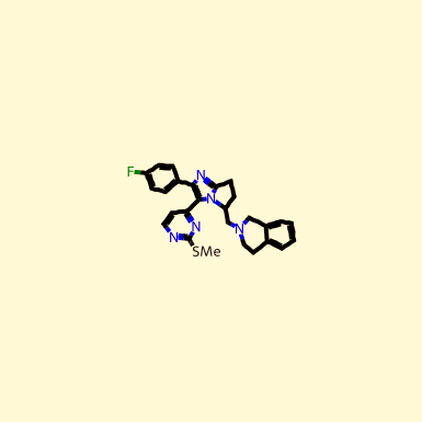 CSc1nccc(-c2c(-c3ccc(F)cc3)nc3n2C(CN2CCc4ccccc4C2)CC3)n1